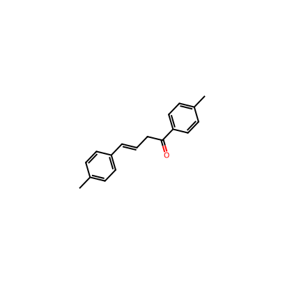 Cc1ccc(C=CCC(=O)c2ccc(C)cc2)cc1